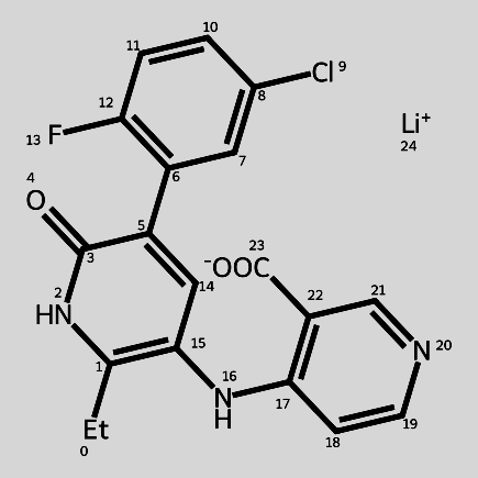 CCc1[nH]c(=O)c(-c2cc(Cl)ccc2F)cc1Nc1ccncc1C(=O)[O-].[Li+]